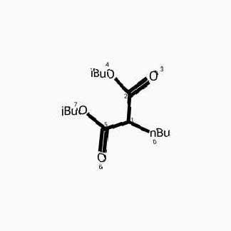 CCCCC(C(=O)OCC(C)C)C(=O)OCC(C)C